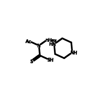 C1CNCCN1.CCCCCCN(C(C)=O)C(=S)S